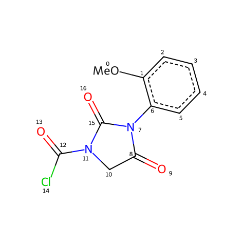 COc1ccccc1N1C(=O)CN(C(=O)Cl)C1=O